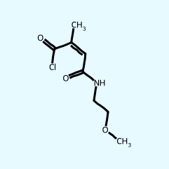 COCCNC(=O)C=C(C)C(=O)Cl